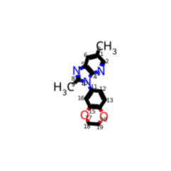 Cc1cnc2c(c1)nc(C)n2-c1ccc2c(c1)OCCO2